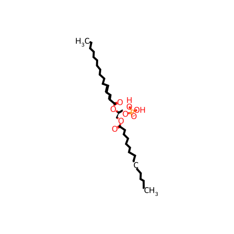 CCCCCCCCCCCC=CC=CC(=O)O[C@H](COC(=O)CCCCCCCCCCCCCCC)COP(=O)(O)O